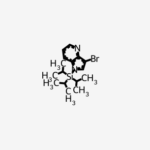 CC(C)[Si](C(C)C)(C(C)C)n1cc(Br)c2ncccc21